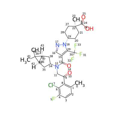 Cc1ccc(F)c(Cl)c1C(=O)CN(C(=O)c1cnn([C@H]2CC[C@](C)(C(=O)O)CC2)c1C(F)(F)F)C1C[C@@H]2[C@H](C1)C2(C)C